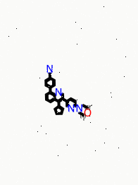 C[C@@H]1CN(c2ccc(-c3cnc4c(-c5ccc(C#N)cc5)cccc4c3C3=CCCC3)cn2)C[C@H](C)O1